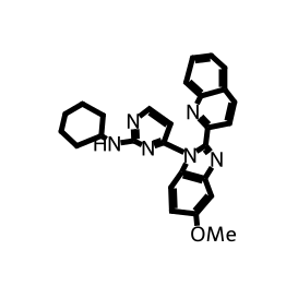 COc1ccc2c(c1)nc(-c1ccc3ccccc3n1)n2-c1ccnc(NC2CCCCC2)n1